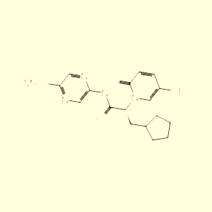 COc1cnc(NC(=O)[C@H](CC2CCCC2)n2cc(C(F)(F)F)ccc2=O)cn1